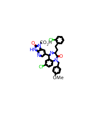 COc1ccc(CN2C(=O)C(CCc3ccccc3Cl)N=C(c3cnc4[nH]c(=O)n(C(=O)O)c4c3)c3cc(Cl)ccc32)cc1